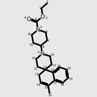 CCOC(=O)N1CCC(N2CCC3(CC=C(C)c4ccccc43)CC2)CC1